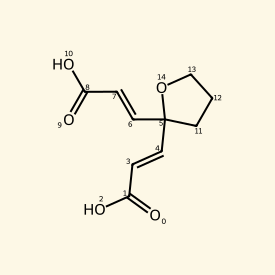 O=C(O)C=CC1(C=CC(=O)O)CCCO1